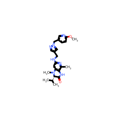 COc1ccc(Cn2cc(CNc3cc4c(c(C)n3)NC(=O)[C@H](C(C)C)N4C)cn2)cn1